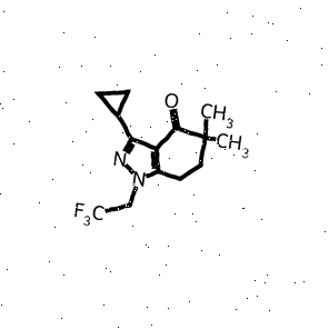 CC1(C)CCc2c(c(C3CC3)nn2CC(F)(F)F)C1=O